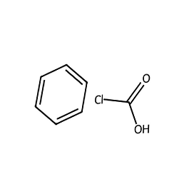 O=C(O)Cl.c1ccccc1